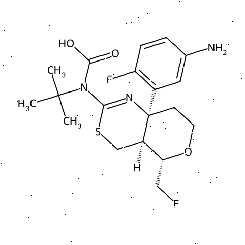 CC(C)(C)N(C(=O)O)C1=N[C@@]2(c3cc(N)ccc3F)CCO[C@H](CF)[C@H]2CS1